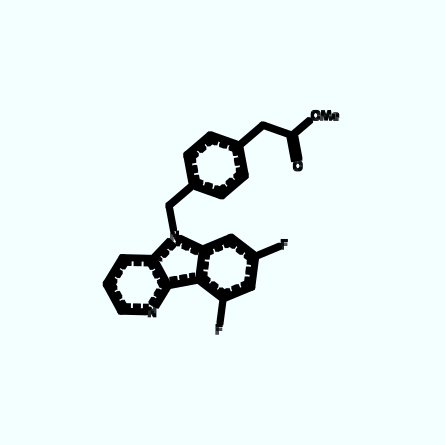 COC(=O)Cc1ccc(Cn2c3cccnc3c3c(F)cc(F)cc32)cc1